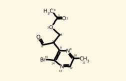 CC(=O)OCC(C=O)c1nc(C)cnc1Br